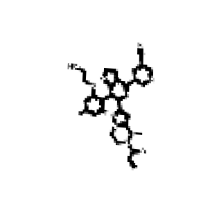 C=CC(=O)N1CCn2nc(-c3nc(-c4cncc(C#N)c4)c4ccsc4c3-c3c(F)cc(F)cc3OCCO)cc2[C@H]1C